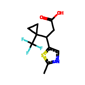 Cc1ncc(C(CC(=O)O)C2(C(F)(F)F)CC2)s1